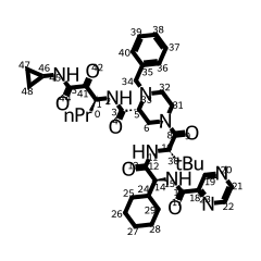 CCC[C@H](NC(=O)[C@H]1CN(C(=O)[C@@H](NC(=O)[C@@H](NC(=O)c2cnccn2)C2CCCCC2)C(C)(C)C)CCN1Cc1ccccc1)C(=O)C(=O)NC1CC1